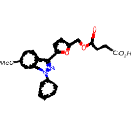 COc1ccc2c(-c3ccc(COC(=O)CCC(=O)O)o3)nn(-c3ccccc3)c2c1